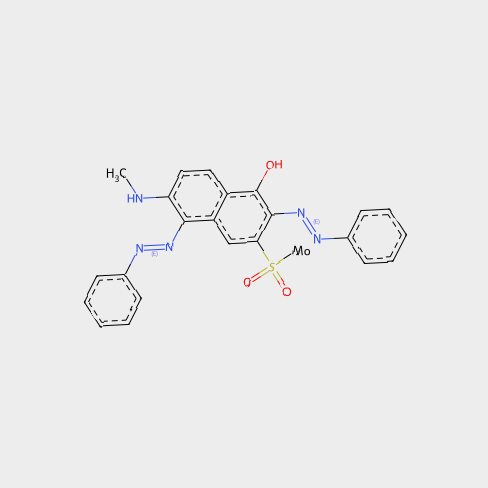 CNc1ccc2c(O)c(/N=N/c3ccccc3)c([S](=O)(=O)[Mo])cc2c1/N=N/c1ccccc1